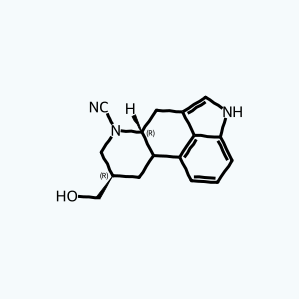 N#CN1C[C@H](CO)CC2c3cccc4[nH]cc(c34)C[C@H]21